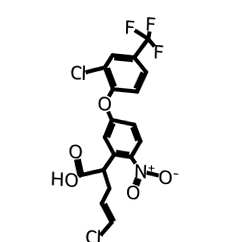 O=C(O)C(CC=CCl)c1cc(Oc2ccc(C(F)(F)F)cc2Cl)ccc1[N+](=O)[O-]